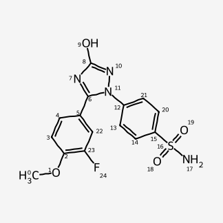 COc1ccc(-c2nc(O)nn2-c2ccc(S(N)(=O)=O)cc2)cc1F